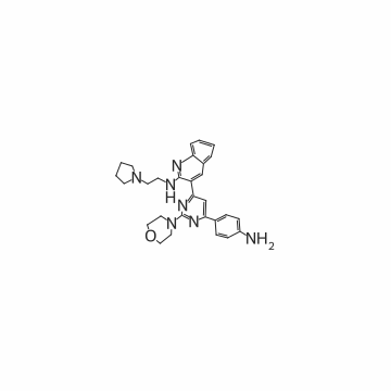 Nc1ccc(-c2cc(-c3cc4ccccc4nc3NCCN3CCCC3)nc(N3CCOCC3)n2)cc1